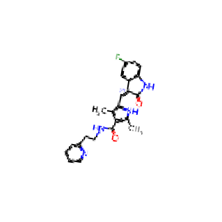 Cc1[nH]c(/C=C2\C(=O)Nc3ccc(F)cc32)c(C)c1C(=O)NCCc1ccccn1